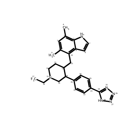 Cc1cc(C)c2[nH]ccc2c1CC1CCN(CC(F)(F)F)CC1c1ccc(-c2nnn[nH]2)cc1